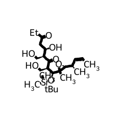 C/C=C\[C@H](C)[C@H]1OC1(C)[C@@H](O[Si](C)(C)C(C)(C)C)[C@@H](CO)C(=O)[C@@H](CO)[C@H](O)CC(=O)CC